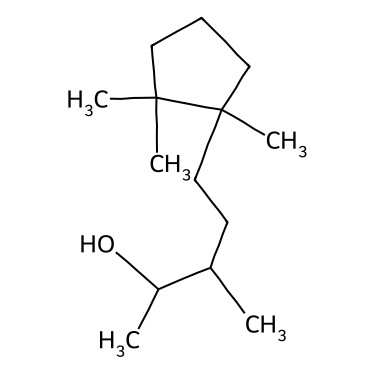 CC(O)C(C)CCC1(C)CCCC1(C)C